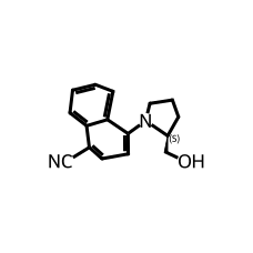 N#Cc1ccc(N2CCC[C@H]2CO)c2ccccc12